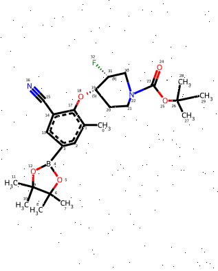 Cc1cc(B2OC(C)(C)C(C)(C)O2)cc(C#N)c1O[C@H]1CCN(C(=O)OC(C)(C)C)C[C@H]1F